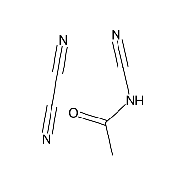 CC(=O)NC#N.N#CC#N